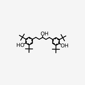 CC(C)(C)c1cc(CCC(O)CCc2cc(C(C)(C)C)c(O)c(C(C)(C)C)c2)cc(C(C)(C)C)c1O